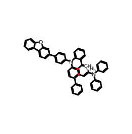 C=C(/C=C\C=C(/C)N(c1ccccc1)c1ccccc1)c1ccccc1N(c1ccc(-c2ccccc2)cc1)c1ccc(-c2ccc3c(c2)oc2ccccc23)cc1